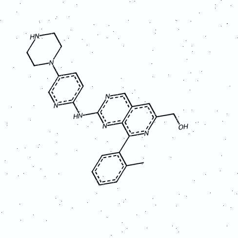 Cc1ccccc1-c1nc(CO)cc2cnc(Nc3ccc(N4CCNCC4)cn3)nc12